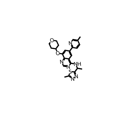 Cc1ccc(-c2cc(OC3CCOCC3)c3ncnc(NC(C)c4nnc(C)s4)c3c2)nc1